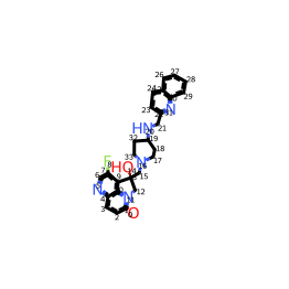 O=c1ccc2ncc(F)c3c2n1C[C@@]3(O)CN1CCC(NCc2ccc3ccccc3n2)CC1